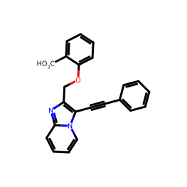 O=C(O)c1ccccc1OCc1nc2ccccn2c1C#Cc1ccccc1